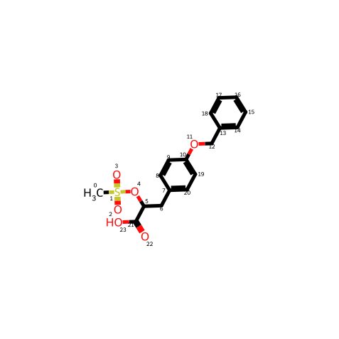 CS(=O)(=O)OC(Cc1ccc(OCc2ccccc2)cc1)C(=O)O